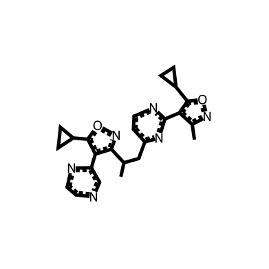 Cc1noc(C2CC2)c1-c1nccc(CC(C)c2noc(C3CC3)c2-c2cnccn2)n1